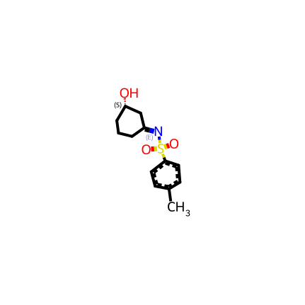 Cc1ccc(S(=O)(=O)/N=C2\CCC[C@H](O)C2)cc1